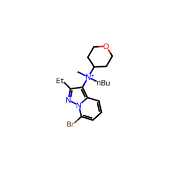 CCCC[N+](C)(c1c(CC)nn2c(Br)cccc12)C1CCOCC1